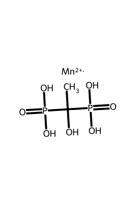 CC(O)(P(=O)(O)O)P(=O)(O)O.[Mn+2]